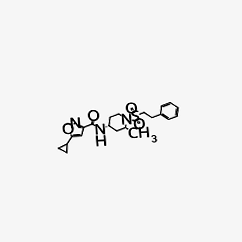 C[C@H]1C[C@H](NC(=O)c2cc(C3CC3)on2)CCN1S(=O)(=O)CCc1ccccc1